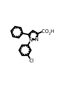 O=C(O)c1cc(-c2ccccc2)n(-c2cccc(Cl)c2)n1